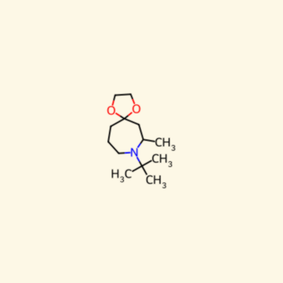 CC1CC2(CCCN1C(C)(C)C)OCCO2